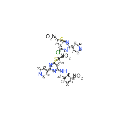 O=[N+]([O-])c1cc2c(Cl)nc(-c3ccncc3)nc2s1.O=[N+]([O-])c1cccc(CNc2nc(-c3ccncc3)nc3sc([N+](=O)[O-])cc23)c1